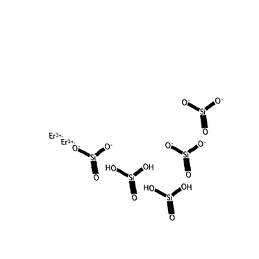 O=[Si](O)O.O=[Si](O)O.O=[Si]([O-])[O-].O=[Si]([O-])[O-].O=[Si]([O-])[O-].[Er+3].[Er+3]